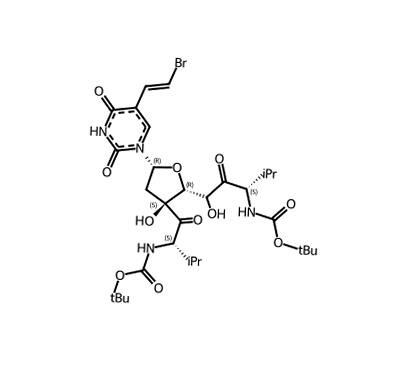 CC(C)[C@H](NC(=O)OC(C)(C)C)C(=O)C(O)[C@H]1O[C@@H](n2cc(C=CBr)c(=O)[nH]c2=O)C[C@@]1(O)C(=O)[C@@H](NC(=O)OC(C)(C)C)C(C)C